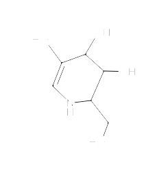 OCC1NC=C(O)C(O)C1O